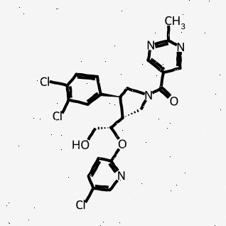 Cc1ncc(C(=O)N2C[C@H]([C@@H](CO)Oc3ccc(Cl)cn3)[C@@H](c3ccc(Cl)c(Cl)c3)C2)cn1